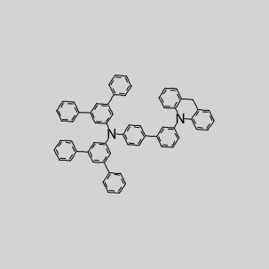 c1ccc(-c2cc(-c3ccccc3)cc(N(c3ccc(-c4cccc(N5c6ccccc6Cc6ccccc65)c4)cc3)c3cc(-c4ccccc4)cc(-c4ccccc4)c3)c2)cc1